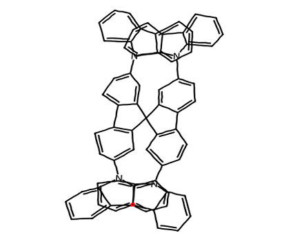 C1=CC2c3ccccc3N(c3ccc4c(c3)C3(c5cc(N6c7ccccc7C7C=CC=CC76)ccc5-4)c4cc(-n5c6ccccc6c6ccccc65)ccc4-c4ccc(-n5c6ccccc6c6ccccc65)cc43)C2C=C1